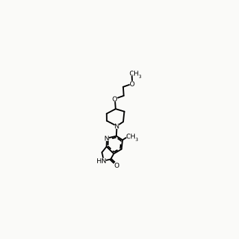 COCCOC1CCN(c2nc3c(cc2C)C(=O)NC3)CC1